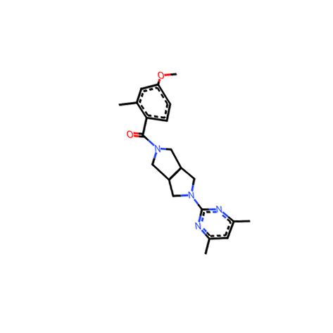 COc1ccc(C(=O)N2CC3CN(c4nc(C)cc(C)n4)CC3C2)c(C)c1